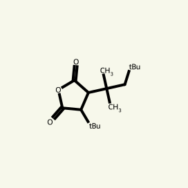 CC(C)(C)CC(C)(C)C1C(=O)OC(=O)C1C(C)(C)C